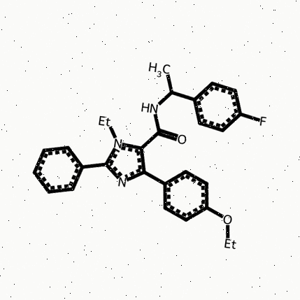 CCOc1ccc(-c2nc(-c3ccccc3)n(CC)c2C(=O)NC(C)c2ccc(F)cc2)cc1